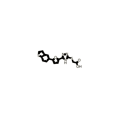 O=C(O)CSc1nnc(-c2ccc(-c3ccc4sccc4c3)o2)[nH]1